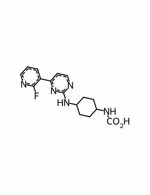 O=C(O)NC1CCC(Nc2nccc(-c3cccnc3F)n2)CC1